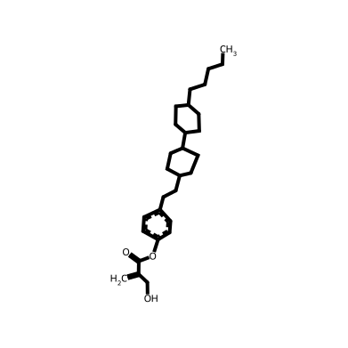 C=C(CO)C(=O)Oc1ccc(CCC2CCC(C3CCC(CCCCC)CC3)CC2)cc1